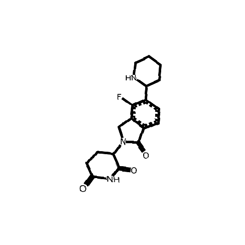 O=C1CCC(N2Cc3c(ccc(C4CCCCN4)c3F)C2=O)C(=O)N1